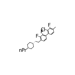 CCC[C@H]1CC[C@H](CCc2ccc(-c3ccc(C)c(F)c3Cl)c(F)c2F)CC1